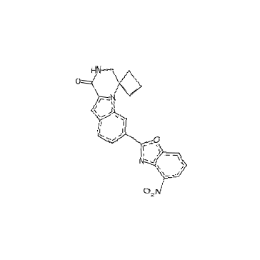 O=C1NCC2(CCC2)n2c1cc1ccc(-c3nc4c([N+](=O)[O-])cccc4o3)cc12